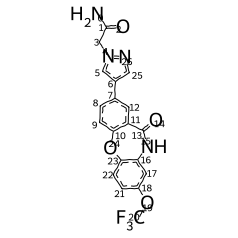 NC(=O)Cn1cc(-c2ccc3c(c2)C(=O)Nc2cc(OC(F)(F)F)ccc2O3)cn1